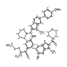 COc1ccc(-c2ccc3oc(C(Nc4ccc(C(=O)N(C)CCC(=O)O)cc4)C4CCCCC4)c(C)c3c2)cn1.Cc1c(C(=O)C2CCCCC2)oc2ccc(Br)cc12